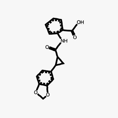 O=C(O)c1ccccc1NC(=O)C1CC1c1ccc2c(c1)OCO2